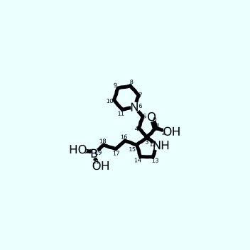 O=C(O)C1(CCN2CCCCC2)NCCC1CCCB(O)O